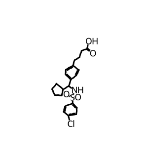 O=C(O)CCCc1ccc(C(NS(=O)(=O)c2ccc(Cl)cc2)C2CCCC2)cc1